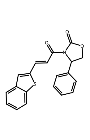 O=C(C=Cc1cc2ccccc2s1)N1C(=O)OCC1c1ccccc1